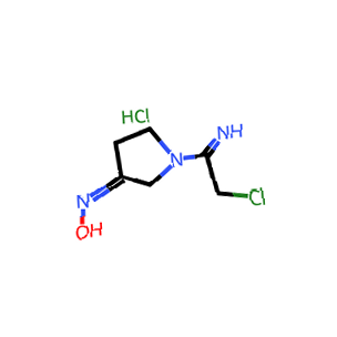 Cl.N=C(CCl)N1CC/C(=N/O)C1